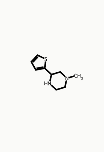 CN1CCNC(c2cccs2)C1